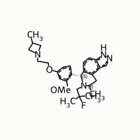 COc1cc(OCCN2CC(C)C2)ccc1[C@@H]1c2ccc3[nH]ncc3c2C[C@@H](C)N1CC(C)(C)F